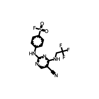 N#Cc1cnc(Nc2ccc(S(=O)(=O)F)cc2)nc1NCC(F)(F)F